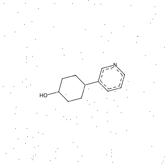 OC1CCC(c2cccnc2)CC1